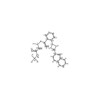 CC(CC(=N)c1nccnc1C1CN(c2ccc3ccccc3n2)C1)NC(=O)OC(C)(C)C